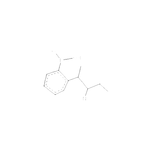 CCC(N)C(C)c1ccccc1B(O)O